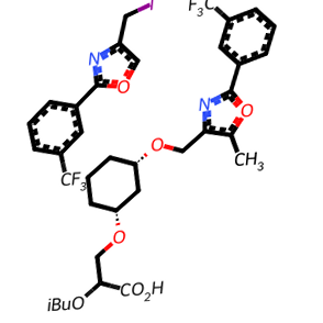 Cc1oc(-c2cccc(C(F)(F)F)c2)nc1CO[C@H]1CCC[C@@H](OCC(OCC(C)C)C(=O)O)C1.FC(F)(F)c1cccc(-c2nc(CI)co2)c1